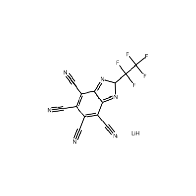 N#Cc1c(C#N)c(C#N)c2c(c1C#N)=NC(C(F)(F)C(F)(F)F)N=2.[LiH]